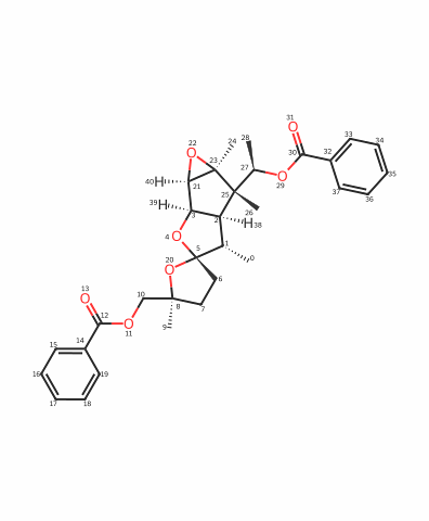 C[C@H]1[C@H]2[C@@H](O[C@]13CC[C@@](C)(COC(=O)c1ccccc1)O3)[C@H]1O[C@@]1(C)[C@]2(C)[C@@H](C)OC(=O)c1ccccc1